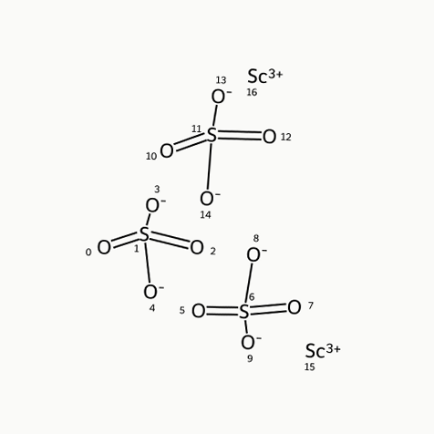 O=S(=O)([O-])[O-].O=S(=O)([O-])[O-].O=S(=O)([O-])[O-].[Sc+3].[Sc+3]